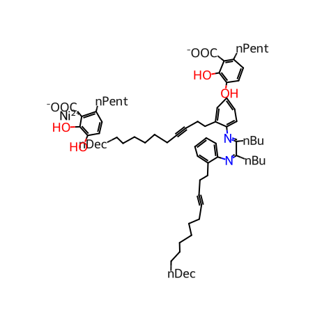 CCCCCCCCCCCCCCCCC#CCCc1ccccc1N=C(CCCC)C(CCCC)=Nc1ccccc1CCC#CCCCCCCCCCCCCCCCC.CCCCCc1ccc(O)c(O)c1C(=O)[O-].CCCCCc1ccc(O)c(O)c1C(=O)[O-].[Ni+2]